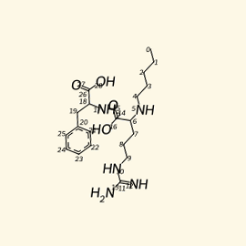 CCCCCNC(CCCNC(=N)N)C(=O)O.NC(Cc1ccccc1)C(=O)O